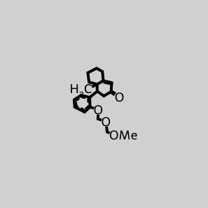 COCOCOc1ccccc1C1CC(=O)C=C2CCCCC21C